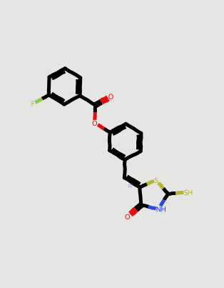 O=C1NC(S)S/C1=C\c1cccc(OC(=O)c2cccc(F)c2)c1